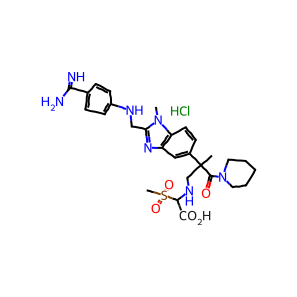 Cl.Cn1c(CNc2ccc(C(=N)N)cc2)nc2cc(C(C)(CNC(C(=O)O)S(C)(=O)=O)C(=O)N3CCCCC3)ccc21